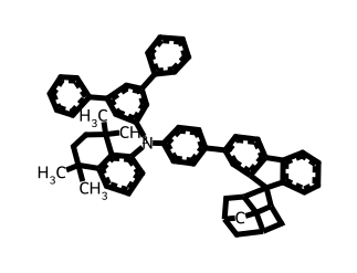 CC1(C)CCC(C)(C)c2c(N(c3ccc(-c4ccc5c(c4)C4(c6ccccc6-5)C5CC6CC7CC4C75C6)cc3)c3cc(-c4ccccc4)cc(-c4ccccc4)c3)cccc21